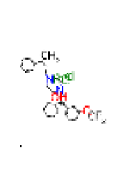 CC(CCN1CCN(C[C@H](c2cccc(OC(F)(F)F)c2)C2(O)CCCCC2)CC1)c1ccccc1.Cl.Cl